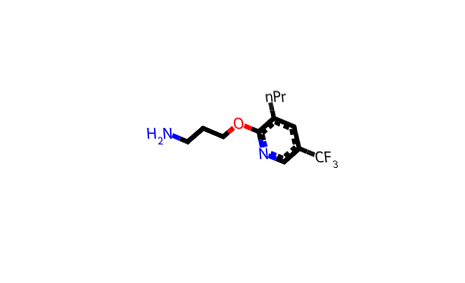 CCCc1cc(C(F)(F)F)cnc1OCCCN